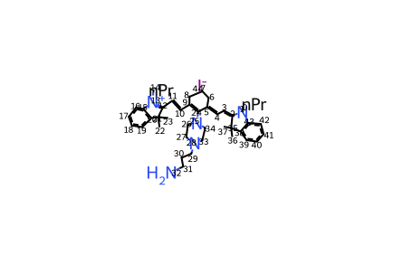 CCCN1/C(=C/C=C2\CCCC(/C=C/C3=[N+](CCC)c4ccccc4C3(C)C)=C2N2CCN(CCCN)CC2)C(C)(C)c2ccccc21.[I-]